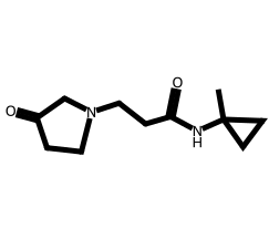 CC1(NC(=O)CCN2CCC(=O)C2)CC1